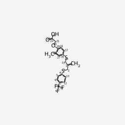 C=C(CSc1ccc(C(F)(F)F)cc1)CSc1ccc(OCC(=O)O)c(C)c1